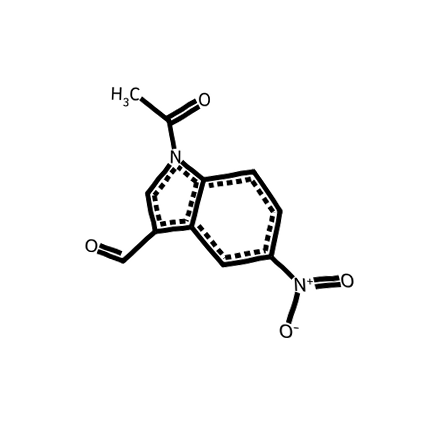 CC(=O)n1cc(C=O)c2cc([N+](=O)[O-])ccc21